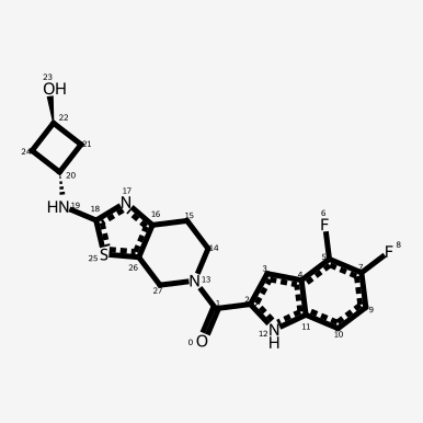 O=C(c1cc2c(F)c(F)ccc2[nH]1)N1CCc2nc(N[C@H]3C[C@H](O)C3)sc2C1